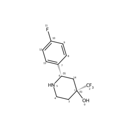 O[C@@]1(C(F)(F)F)CCN[C@H](c2ccc(F)cc2)C1